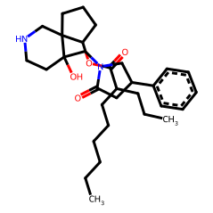 CCCCCCC(CCC)C(=O)OC1CCCC12CNCCC2(O)CN1CC(c2ccccc2)CC1=O